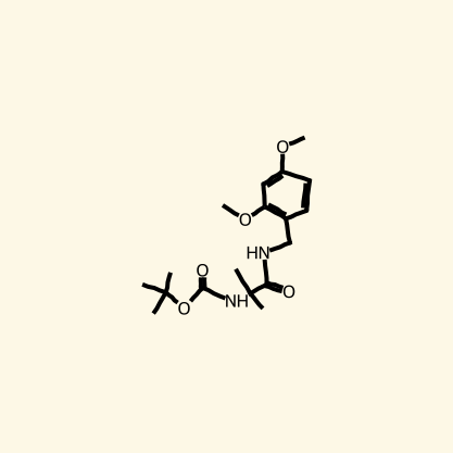 COc1ccc(CNC(=O)C(C)(C)NC(=O)OC(C)(C)C)c(OC)c1